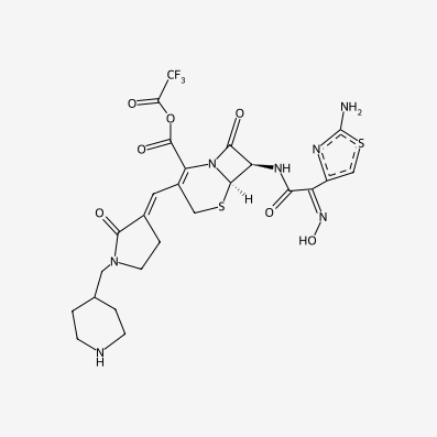 Nc1nc(/C(=N/O)C(=O)N[C@@H]2C(=O)N3C(C(=O)OC(=O)C(F)(F)F)=C(C=C4CCN(CC5CCNCC5)C4=O)CS[C@H]23)cs1